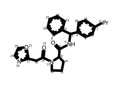 CC(C)c1ccc(C(NC(=O)C2CCCN2C(=O)Cc2ncco2)c2ccccc2)cc1